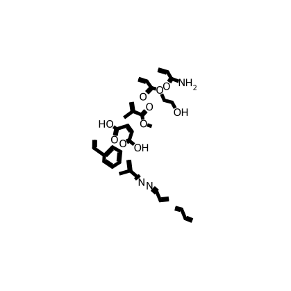 C=C(C)C#N.C=C(C)C(=O)OC.C=CC#N.C=CC(=O)OCCO.C=CC(N)=O.C=CC=C.C=Cc1ccccc1.O=C(O)/C=C\C(=O)O